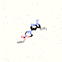 Cc1c[nH]c2ncc(N3CCON(C(=O)OC(C)(C)C)CC3)cc12